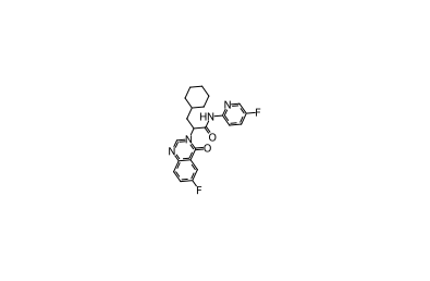 O=C(Nc1ccc(F)cn1)C(CC1CCCCC1)n1cnc2ccc(F)cc2c1=O